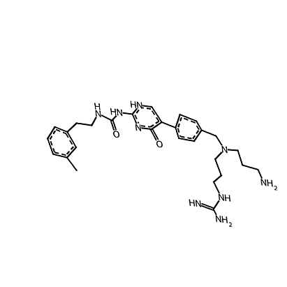 Cc1cccc(CCNC(=O)Nc2nc(=O)c(-c3ccc(CN(CCCN)CCCNC(=N)N)cc3)c[nH]2)c1